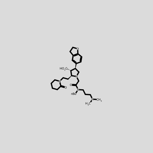 CCCCN(CCCN(C)C)C(=O)CN1C[C@H](c2ccc3c(c2)CCO3)[C@@H](C(=O)O)[C@@H]1CCN1CCCCC1=O